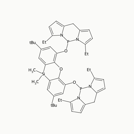 CCc1ccc2n1P(Oc1cc(C(C)(C)C)cc3c1Oc1c(OP4n5c(CC)ccc5Cc5ccc(CC)n54)cc(C(C)(C)C)cc1[Si]3(C)C)n1c(CC)ccc1C2